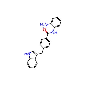 Nc1ccccc1NC(=O)c1ccc(CC2=CNC3C=CC=CC23)cc1